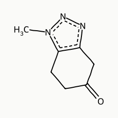 Cn1nnc2c1CCC(=O)C2